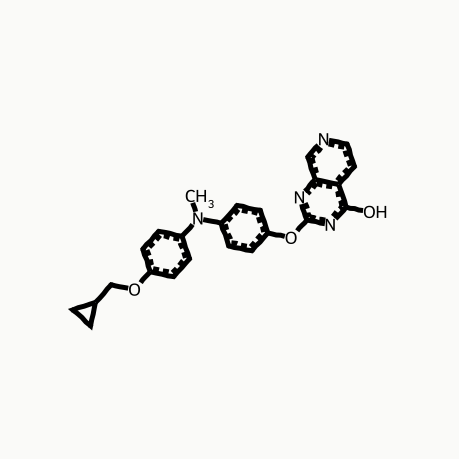 CN(c1ccc(OCC2CC2)cc1)c1ccc(Oc2nc(O)c3ccncc3n2)cc1